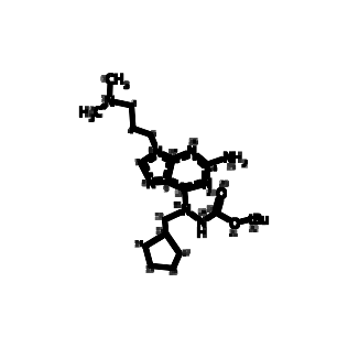 CN(C)CCCn1cnc2c(N(CC3CCCC3)NC(=O)OC(C)(C)C)nc(N)nc21